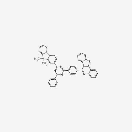 CC1(C)c2ccccc2-c2ccc(-c3nc(-c4ccccc4)nc(-c4ccc(-c5nc6ccccc6c6sc7ccccc7c56)cc4)n3)cc21